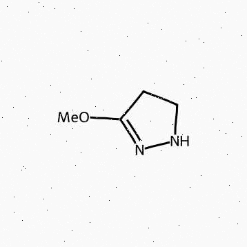 COC1=NNCC1